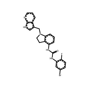 O=C(Nc1cc(Br)ccc1F)Nc1cccc2c1CCN2Cc1c[nH]c2ncccc12